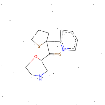 S=C(C1CNCCO1)C1(c2ccccn2)CCCS1